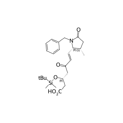 C[C@H]1CC(=O)N(Cc2ccccc2)[C@H]1C=CC(=O)C[C@H](CC(=O)O)O[Si](C)(C)C(C)(C)C